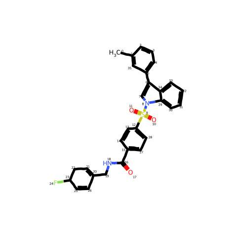 Cc1cccc(-c2cn(S(=O)(=O)c3ccc(C(=O)NCC4=CCC(F)C=C4)cc3)c3ccccc23)c1